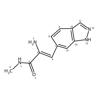 CNC(=O)/C(N)=C/c1ccc2cn[nH]c2c1